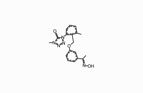 C/C(=N\O)c1cccc(OCc2c(C)cccc2-n2nnn(C)c2=O)c1